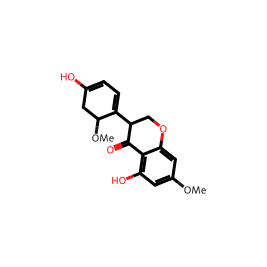 COc1cc(O)c2c(c1)OCC(C1=CC=C(O)CC1OC)C2=O